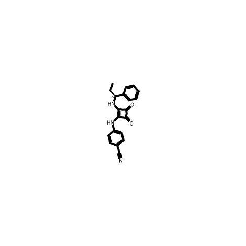 CC[C@H](Nc1c(Nc2ccc(C#N)cc2)c(=O)c1=O)c1ccccc1